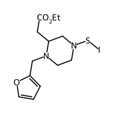 CCOC(=O)CC1CN(SI)CCN1Cc1ccco1